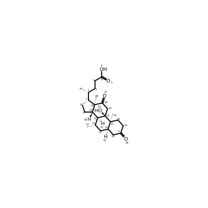 C[C@H](CCC(=O)O)[C@H]1CC[C@H]2[C@@H]3[C@@H](C)C[C@@H]4CC(=O)CC[C@]4(C)[C@@]3(O)CC(=O)[C@]12C